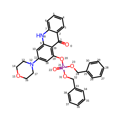 O=c1c2ccccc2[nH]c2cc(N3CCOCC3)cc(OP(=O)(OCc3ccccc3)OCc3ccccc3)c12